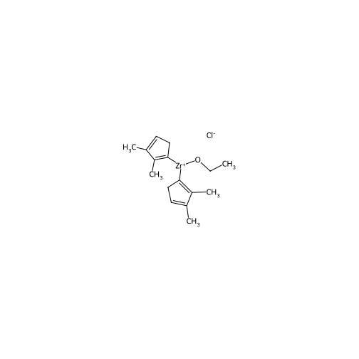 CC[O][Zr+]([C]1=C(C)C(C)=CC1)[C]1=C(C)C(C)=CC1.[Cl-]